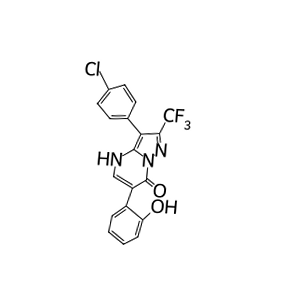 O=c1c(-c2ccccc2O)c[nH]c2c(-c3ccc(Cl)cc3)c(C(F)(F)F)nn12